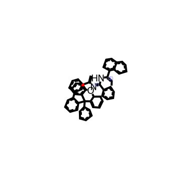 C=C(/N=C(\N/C(=C\C)c1cccc2ccccc12)c1ccccc1)c1cccc(-c2ccccc2C2(c3ccccc3)C3=CC=CCC3Oc3ccccc32)c1